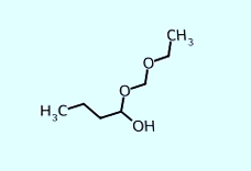 CCCC(O)OCOCC